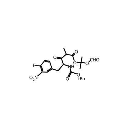 CC(C(=O)OC(C)(C)OC=O)C(=O)C(Cc1ccc(F)c([N+](=O)[O-])c1)NC(=O)OC(C)(C)C